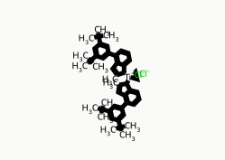 CC1=Cc2c(-c3cc(C(C)(C)C)cc(C(C)(C)C)c3)cccc2[CH]1[Ti+2]1([CH]2C(C)=Cc3c(-c4cc(C(C)(C)C)cc(C(C)(C)C)c4)cccc32)[CH2][CH2]1.[Cl-].[Cl-]